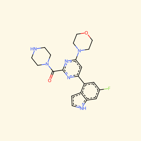 O=C(c1nc(-c2cc(F)cc3[nH]ccc23)cc(N2CCOCC2)n1)N1CCNCC1